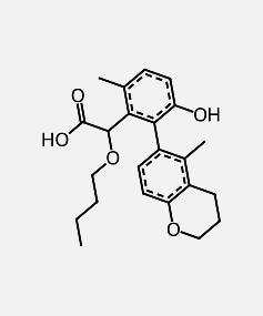 CCCCOC(C(=O)O)c1c(C)ccc(O)c1-c1ccc2c(c1C)CCCO2